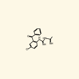 CC(=N)NC(=N)Nc1ccc(Cl)cc1C(=O)c1ccccc1